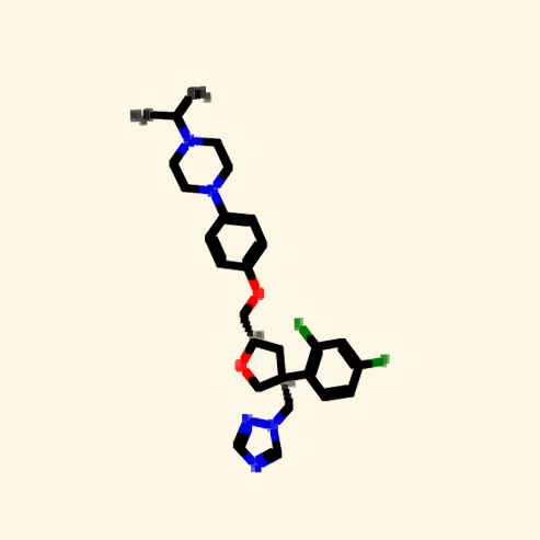 CC(C)N1CCN(c2ccc(OC[C@@H]3C[C@@](Cn4cncn4)(c4ccc(F)cc4F)CO3)cc2)CC1